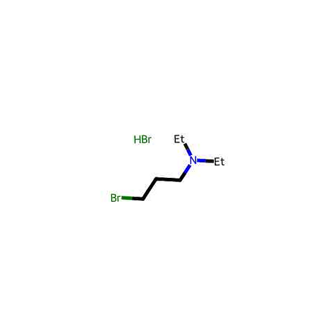 Br.CCN(CC)CCCBr